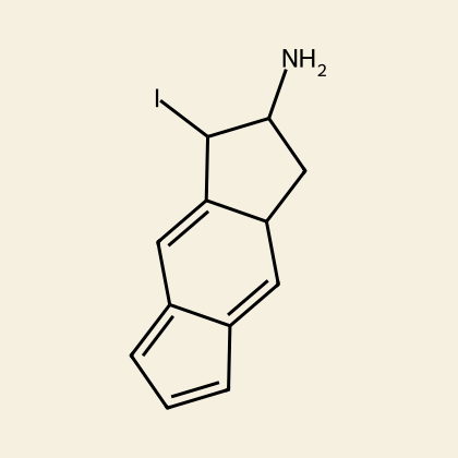 NC1CC2C=C3C=CC=C3C=C2C1I